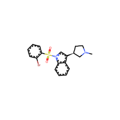 CN1CC[C@H](c2cn(S(=O)(=O)c3ccccc3Br)c3ccccc23)C1